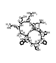 C[C@@H]1NC(=O)[C@@H]2CSS[C@H](NC(=O)[C@H](CCCNC(=N)N)NC(=O)[C@H](CCCNC(=N)N)NC[C@@](C=O)(CCC(=O)O)NC(=O)[C@H](CCCNC(=N)N)NC1=O)C(=O)N1CSC[C@H]1C(=O)N[C@@H](Cc1c[nH]cn1)C(=O)N[C@H](Cc1ccccc1)C(=O)N[C@@H](Cc1c[nH]cn1)C(=O)N[C@@H](Cc1c[nH]c3ccccc13)C(=O)N2